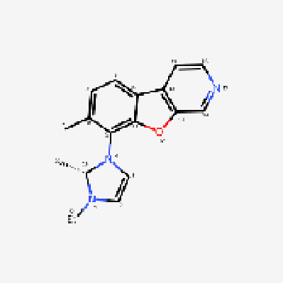 CCN1C=CN(c2c(C)ccc3c2oc2cnccc23)[C@H]1C